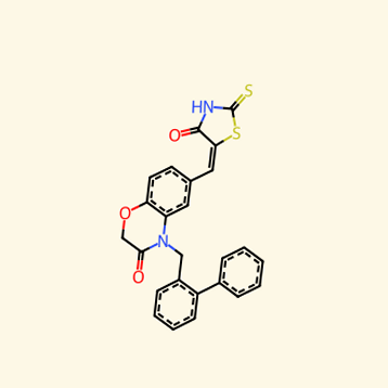 O=C1NC(=S)S/C1=C/c1ccc2c(c1)N(Cc1ccccc1-c1ccccc1)C(=O)CO2